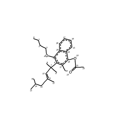 CCCCOc1c(C(C)(C)/C=C(\C)CC(C)C)c(C)c(OC(C)=O)c2ccccc12